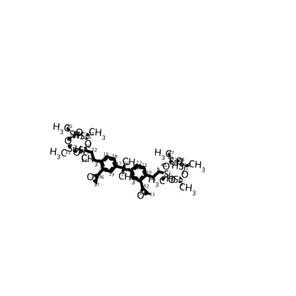 C[SiH]1O[SiH](C)O[Si](C)(CCc2ccc(C(C)(C)c3ccc(CC[Si]4(C)O[SiH](C)O[SiH](C)O[SiH](C)O4)c(C4CO4)c3)cc2C2CO2)O[SiH](C)O1